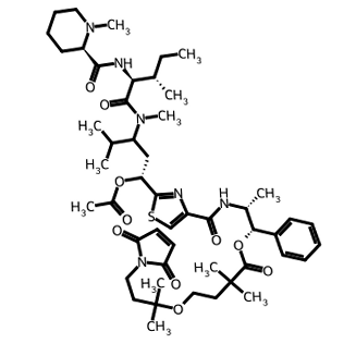 CC[C@H](C)[C@H](NC(=O)[C@H]1CCCCN1C)C(=O)N(C)C(C[C@@H](OC(C)=O)c1nc(C(=O)N[C@H](C)[C@@H](OC(=O)C(C)(C)CCOC(C)(C)CCN2C(=O)C=CC2=O)c2ccccc2)cs1)C(C)C